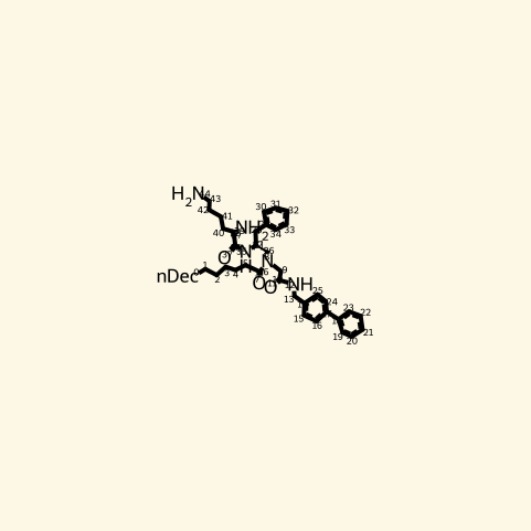 CCCCCCCCCCCCCCCC(=O)N(CC(=O)NCc1ccc(-c2ccccc2)cc1)C[C@H](Cc1ccccc1)NC(=O)[C@@H](N)CCCCN